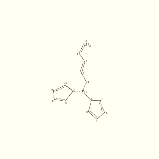 C=CC=C[CH2][Ti]([CH]1C=CC=C1)[CH]1C=CC=C1